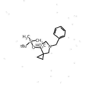 CC(C)(C)[Si](C)(C)OCC1(CN(CC(=O)O)Cc2ccccc2)CC1